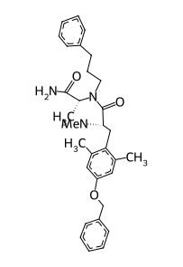 CN[C@@H](Cc1c(C)cc(OCc2ccccc2)cc1C)C(=O)N(CCCc1ccccc1)[C@H](C)C(N)=O